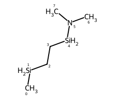 C[SiH2]CC[SiH2]N(C)C